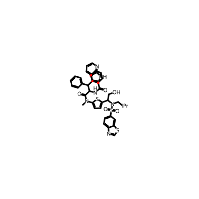 CC(C)CN(C(CO)c1ccc(N(C)C(=O)C(NC(=O)c2ccccc2)C(c2ccccc2)c2c[nH]c3ncccc23)s1)S(=O)(=O)c1ccc2ncsc2c1